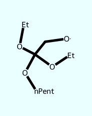 CCCCCOC(C[O])(OCC)OCC